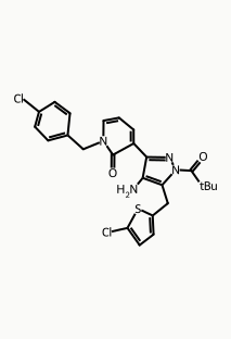 CC(C)(C)C(=O)n1nc(-c2cccn(Cc3ccc(Cl)cc3)c2=O)c(N)c1Cc1ccc(Cl)s1